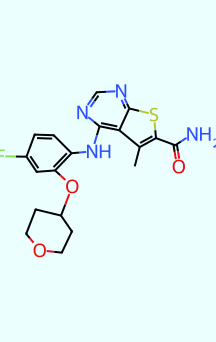 Cc1c(C(N)=O)sc2ncnc(Nc3ccc(F)cc3OC3CCOCC3)c12